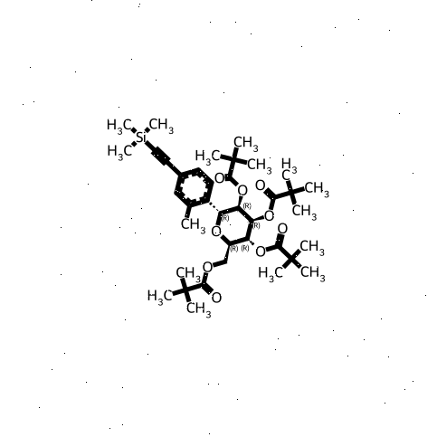 Cc1cc(C#C[Si](C)(C)C)ccc1[C@H]1O[C@H](COC(=O)C(C)(C)C)[C@@H](OC(=O)C(C)(C)C)[C@H](OC(=O)C(C)(C)C)[C@@H]1OC(=O)C(C)(C)C